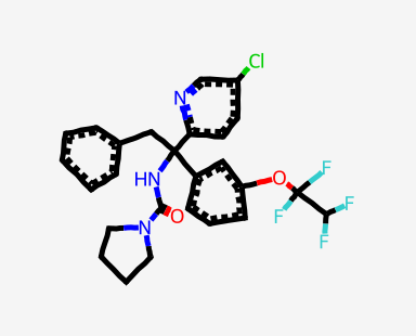 O=C(NC(Cc1ccccc1)(c1cccc(OC(F)(F)C(F)F)c1)c1ccc(Cl)cn1)N1CCCC1